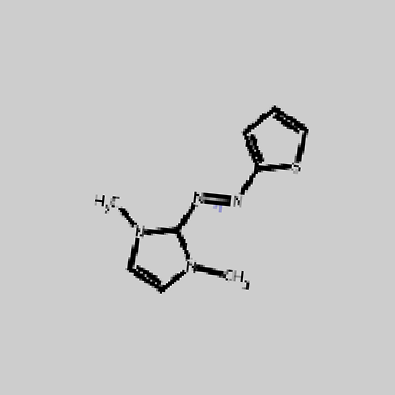 CN1C=CN(C)C1/N=N/c1cccs1